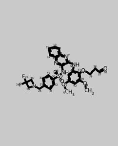 COc1cc(Nc2nc3ccccc3nc2NS(=O)(=O)c2ccc(CN3CC(F)(F)C3)cc2)c(OCCC=O)c(OC)c1